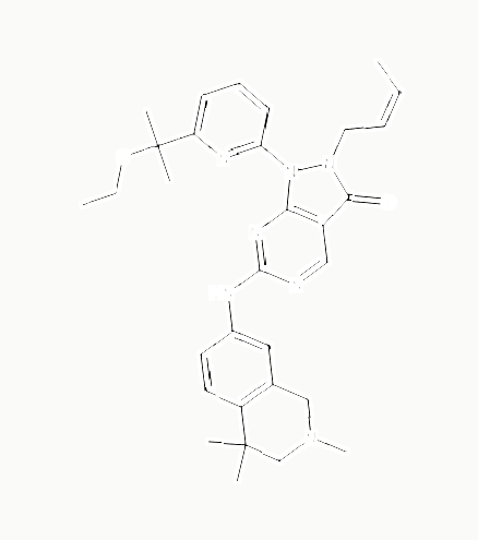 C/C=C\Cn1c(=O)c2cnc(Nc3ccc4c(c3)CN(C)CC4(C)C)nc2n1-c1cccc(C(C)(C)OCC)n1